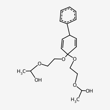 CC(O)OCCOC1(OCCOC(C)O)C=CC(c2ccccc2)C=C1